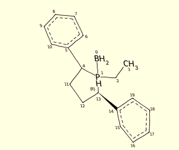 B[PH]1(CC)C(c2ccccc2)CC[C@@H]1c1ccccc1